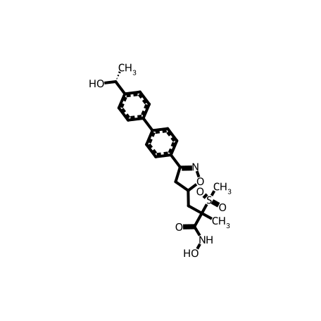 C[C@@H](O)c1ccc(-c2ccc(C3=NOC(CC(C)(C(=O)NO)S(C)(=O)=O)C3)cc2)cc1